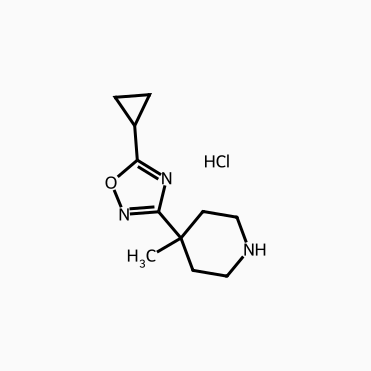 CC1(c2noc(C3CC3)n2)CCNCC1.Cl